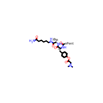 CCCCCC(=O)N[C@@H](Cc1ccc(OC(=O)CN(C)C)cc1)C(=O)N[C@H](C(=O)NCCCCCC(N)=O)[C@@H](C)CC